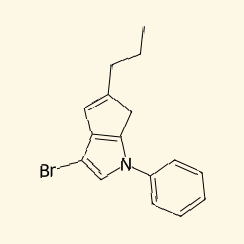 CCCC1=Cc2c(Br)cn(-c3ccccc3)c2C1